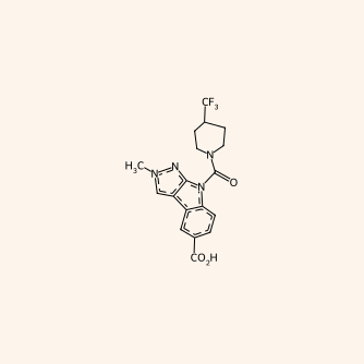 Cn1cc2c3cc(C(=O)O)ccc3n(C(=O)N3CCC(C(F)(F)F)CC3)c2n1